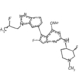 COc1nc(N[C@@H]2CCN(C)C[C@@H]2F)nn2cc(F)c(-c3ccc4nnn(C[C@@H](C)F)c4c3)c12